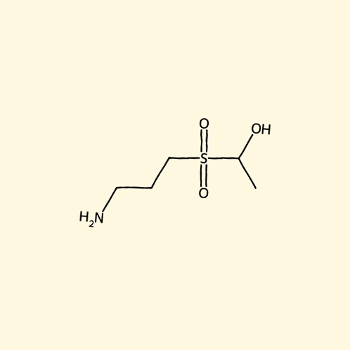 CC(O)S(=O)(=O)CCCN